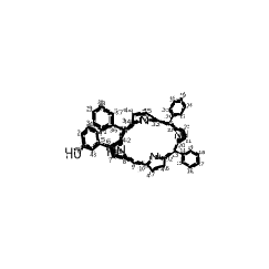 Oc1cccc(-c2cc3cc4nc(c(-c5ccccc5)c5ccc([nH]5)c(-c5ccccc5)c5nc(c(-c6ccccc6)c2[nH]3)C=C5)C=C4)c1